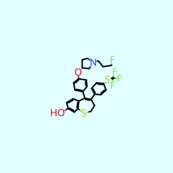 Oc1ccc2c(c1)SCCC(c1ccc(SC(F)(F)F)cc1)=C2c1ccc(O[C@H]2CCN(CCCF)C2)cc1